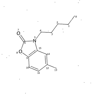 CCCCCn1c(=O)oc2ccc(C)cc21